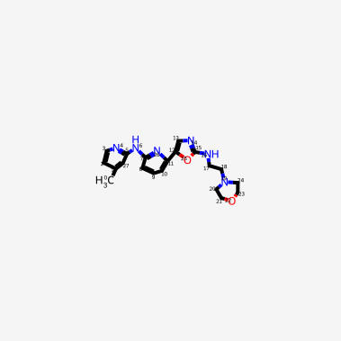 Cc1ccnc(Nc2cccc(-c3cnc(NCCN4CCOCC4)o3)n2)c1